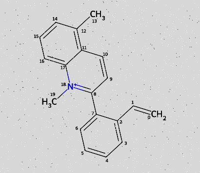 C=Cc1ccccc1-c1ccc2c(C)cccc2[n+]1C